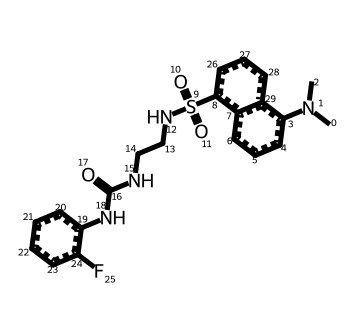 CN(C)c1cccc2c(S(=O)(=O)NCCNC(=O)Nc3ccccc3F)cccc12